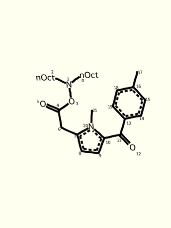 CCCCCCCCN(CCCCCCCC)OC(=O)Cc1ccc(C(=O)c2ccc(C)cc2)n1C